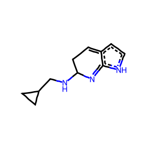 C1=c2cc[nH]c2=NC(NCC2CC2)C1